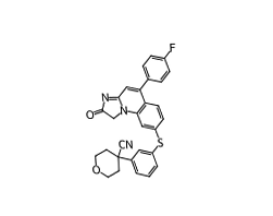 N#CC1(c2cccc(Sc3ccc4c(c3)N3CC(=O)N=C3C=C4c3ccc(F)cc3)c2)CCOCC1